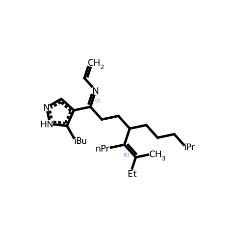 C=C/N=C(/CCC(CCCC(C)C)/C(CCC)=C(\C)CC)c1cn[nH]c1C(C)CC